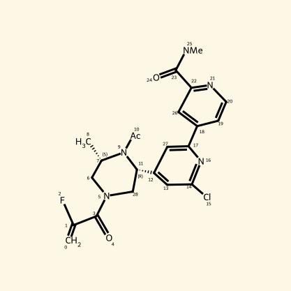 C=C(F)C(=O)N1C[C@H](C)N(C(C)=O)[C@H](c2cc(Cl)nc(-c3ccnc(C(=O)NC)c3)c2)C1